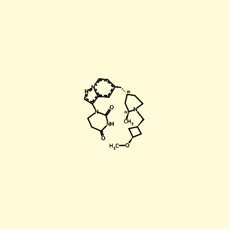 CO[C@H]1C[C@@H](CN2CC[C@@H](Cc3ccn4ncc(N5CCC(=O)NC5=O)c4c3)C[C@@H]2C)C1